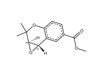 COC(=O)c1ccc2c(c1)[C@@H]1O[C@H]1C(C)(C)O2